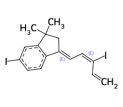 C=C/C(I)=C\C=C1/CC(C)(C)c2cc(I)ccc21